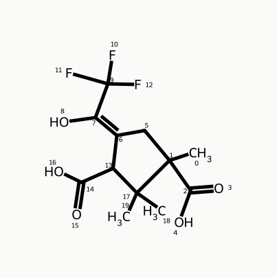 CC1(C(=O)O)CC(=C(O)C(F)(F)F)C(C(=O)O)C1(C)C